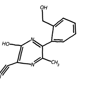 Cc1nc(C#N)c(O)nc1-c1ccccc1CO